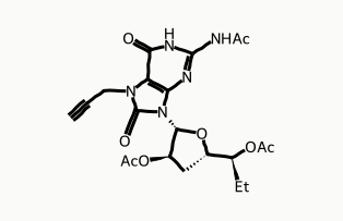 C#CCn1c(=O)n([C@@H]2O[C@H]([C@H](CC)OC(C)=O)C[C@H]2OC(C)=O)c2nc(NC(C)=O)[nH]c(=O)c21